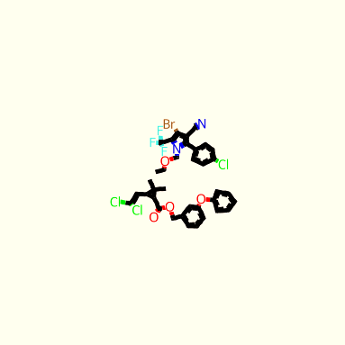 CC1(C)C(C=C(Cl)Cl)C1C(=O)OCc1cccc(Oc2ccccc2)c1.CCOCn1c(-c2ccc(Cl)cc2)c(C#N)c(Br)c1C(F)(F)F